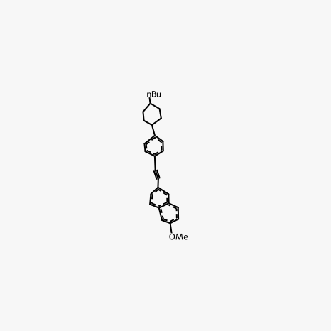 CCCCC1CCC(c2ccc(C#Cc3ccc4cc(OC)ccc4c3)cc2)CC1